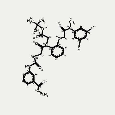 COC(=O)c1cccc(NC(=O)NCC(=O)N(CC(=O)OC(C)(C)C)c2ccccc2OCC(=O)N(C)c2cc(F)cc(F)c2)c1